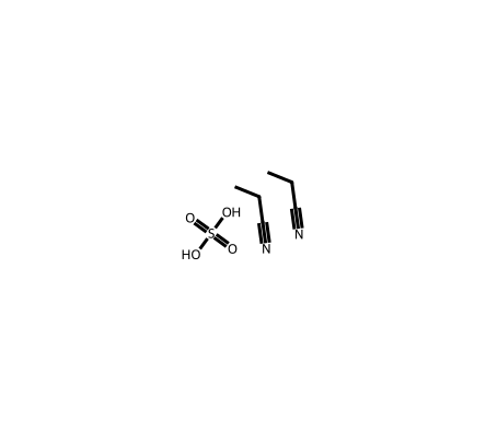 CCC#N.CCC#N.O=S(=O)(O)O